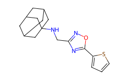 c1csc(-c2nc(CNC34CC5CC(CC(C5)C3)C4)no2)c1